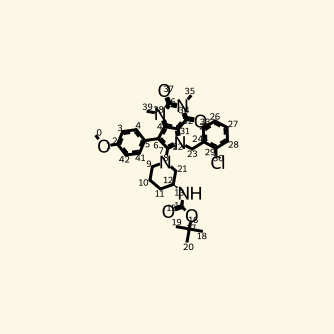 COc1ccc(-c2c(N3CCC[C@@H](NC(=O)OC(C)(C)C)C3)n(Cc3ccccc3Cl)c3c(=O)n(C)c(=O)n(C)c23)cc1